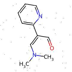 CN(C)C=C(C=O)c1ccccn1